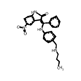 CCCCNCc1ccc(NC(=C2C(=O)Nc3ccc([N+](=O)[O-])cc32)c2ccccc2)cc1